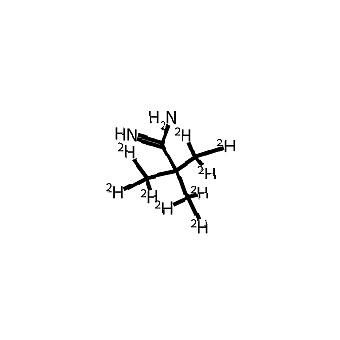 [2H]C([2H])([2H])C(C(=N)N)(C([2H])([2H])[2H])C([2H])([2H])[2H]